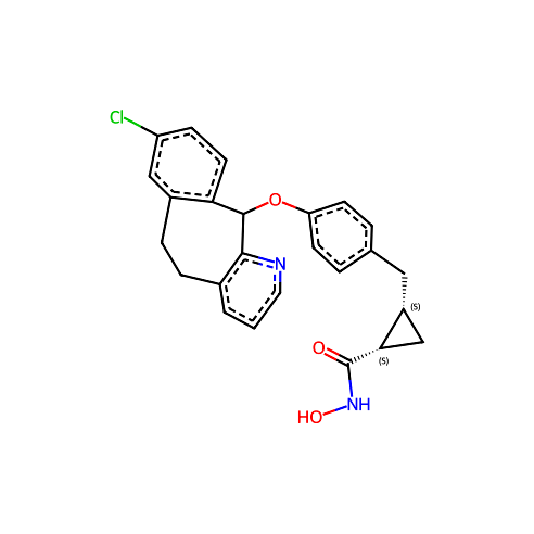 O=C(NO)[C@H]1C[C@H]1Cc1ccc(OC2c3ccc(Cl)cc3CCc3cccnc32)cc1